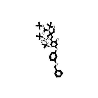 CC(C)(C)OC(=O)N1C(CCc2ccc(Sc3cccc(OCc4ccccc4)c3)cc2Cl)(COP(=O)(OC(C)(C)C)OC(C)(C)C)COC1(C)C